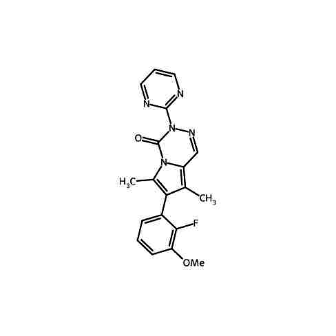 COc1cccc(-c2c(C)c3cnn(-c4ncccn4)c(=O)n3c2C)c1F